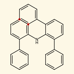 c1ccc(-c2ccccc2Nc2c(-c3ccccc3)cccc2-c2ccccc2)cc1